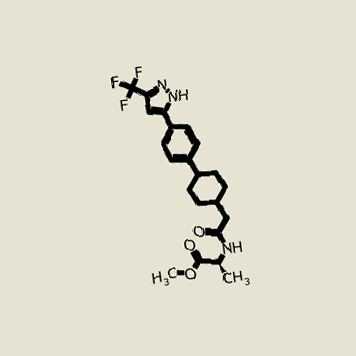 COC(=O)[C@H](C)NC(=O)CC1CCC(c2ccc(-c3cc(C(F)(F)F)n[nH]3)cc2)CC1